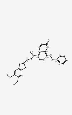 CCc1cc2c(cc1CC)CC(NC[C@@H](F)c1ccc(OCc3ccccc3)c3[nH]c(=O)ccc13)C2